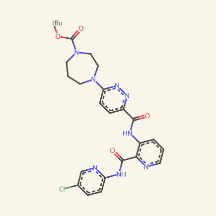 CC(C)(C)OC(=O)N1CCCN(c2ccc(C(=O)Nc3cccnc3C(=O)Nc3ccc(Cl)cn3)nn2)CC1